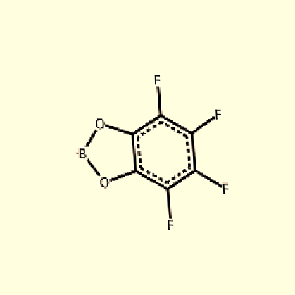 Fc1c(F)c(F)c2c(c1F)O[B]O2